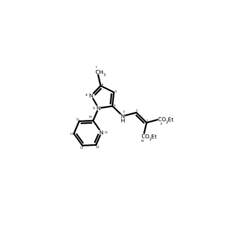 CCOC(=O)C(=CNc1cc(C)nn1-c1ccccn1)C(=O)OCC